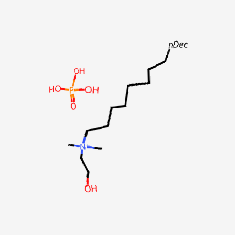 CCCCCCCCCCCCCCCCCC[N+](C)(C)CCO.O=P(O)(O)O